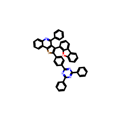 c1ccc(-c2nc(-c3ccccc3)nc(-c3ccc(-c4sc5c(c(-c6ccccc6)nc6ccccc65)c4-c4cccc5c4oc4ccccc45)cc3)n2)cc1